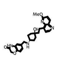 COc1ccc2nccc(CC[C@]3(O)CC[C@H](NCc4ccc5c(c4)NC(=O)CO5)CC3)c2n1